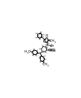 Cc1ccc(C(c2ccc(C)cc2)N2CCN(C(c3nc(-c4ccccc4)[nH]c3C)C(C)C)CC2)cc1.Cl.Cl.Cl